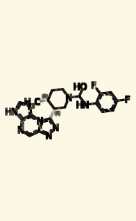 C[C@@H]1CCN(C(O)Nc2ccc(F)cc2F)C[C@@H]1c1nnc2cnc3[nH]ccc3n12